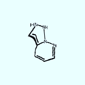 C1=CC2=CNNN2N=C1